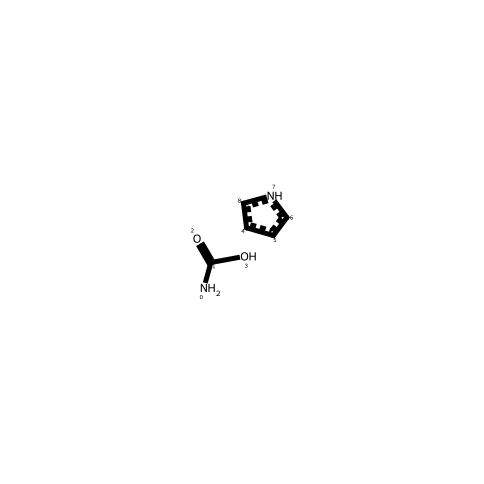 NC(=O)O.c1cc[nH]c1